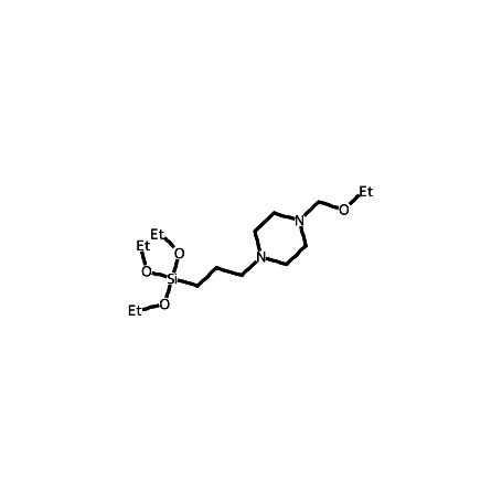 CCOCN1CCN(CCC[Si](OCC)(OCC)OCC)CC1